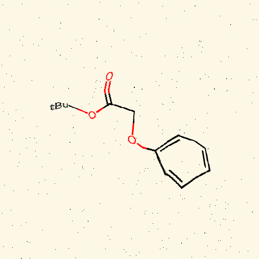 CC(C)(C)OC(=O)COc1c[c]ccc1